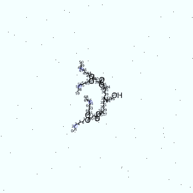 CC/C=C\CCCCOC(CCC(=O)OCC(C)(C)CCCCN(CCCO)CCCCC(C)(C)COC(=O)CCC(OCCCC/C=C\CC)OCCCC/C=C\CC)OCCCC/C=C\CC